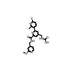 COc1cc(CNC(=O)c2cc(CNC(=O)O)cc(-c3ccc(F)nc3C)n2)ccn1